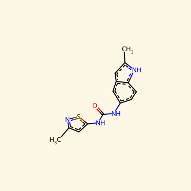 Cc1cc(NC(=O)Nc2ccc3[nH]c(C)cc3c2)sn1